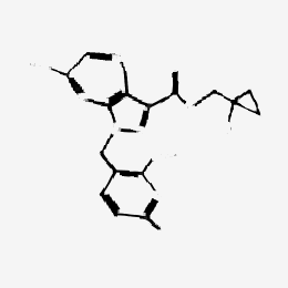 COc1cnc2c(C(=O)NCC3(O)CC3)nn(Cc3ccc(C)nc3OC)c2n1